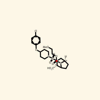 COCCOC(=O)N1C2CC[C@@H]1CN(S(=O)(=O)N1CCC(Oc3ccc(Cl)cc3)CC1)[C@H]2C(=O)O